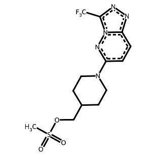 CS(=O)(=O)OCC1CCN(c2ccc3nnc(C(F)(F)F)n3n2)CC1